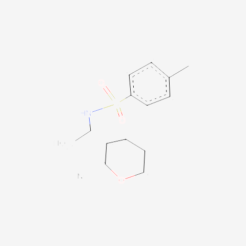 Cc1ccc(S(=O)(=O)NC(C(=O)O)[C@@H]2CCCO[C@@H]2C#N)cc1